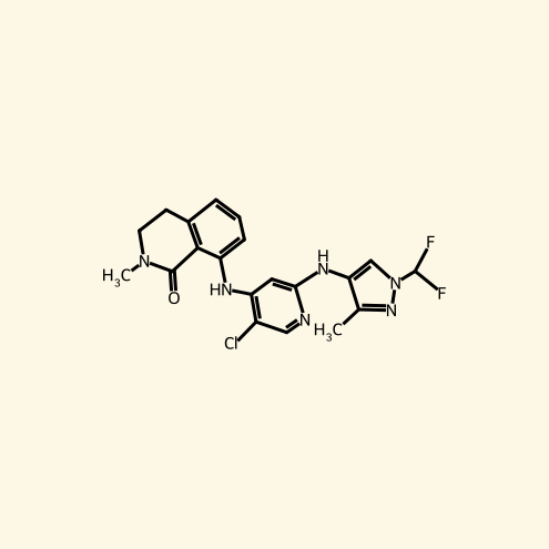 Cc1nn(C(F)F)cc1Nc1cc(Nc2cccc3c2C(=O)N(C)CC3)c(Cl)cn1